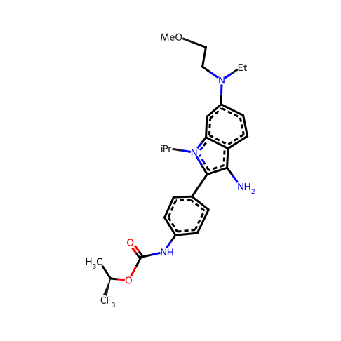 CCN(CCOC)c1ccc2c(N)c(-c3ccc(NC(=O)O[C@H](C)C(F)(F)F)cc3)n(C(C)C)c2c1